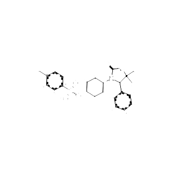 Cc1ccc(S(=O)(=O)O[C@H]2CC[C@H](N3C(=O)OC(C)(C)C3c3ccccc3)CC2)cc1